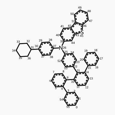 c1ccc(-c2ccccc2-c2cccc(-c3ccccc3)c2-c2ccc(N(c3ccc(C4CCCCC4)cc3)c3ccc4c(c3)sc3ccccc34)cc2)cc1